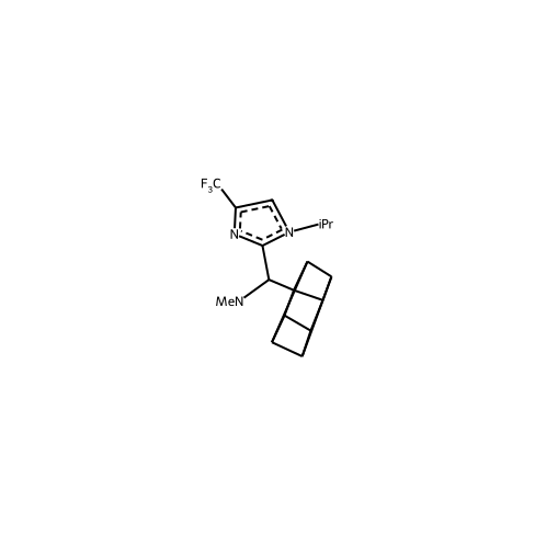 CNC(c1nc(C(F)(F)F)cn1C(C)C)C12C3C4C5C3C1C5C42